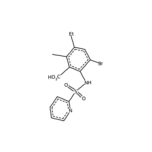 CCc1cc(Br)c(NS(=O)(=O)c2ccccn2)c(C(=O)O)c1C